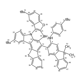 CC(C)(C)c1ccc(Nc2cc3c(cc2-c2c4c5c(c6cc(C(C)(C)C)ccc6n5-c5c(oc6ccc(C(C)(C)C)cc56)B4)c4sc5ccccc5c24)-c2ccccc2C3(C)C)cc1